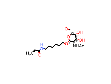 C=CC(=O)NCCCCCCO[C@H]1O[C@H](CO)[C@@H](O)[C@H](O)[C@@H]1NC(C)=O